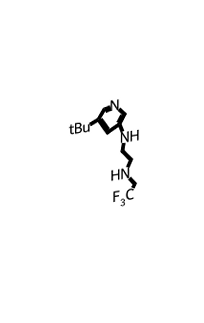 CC(C)(C)c1cncc(NCCNCC(F)(F)F)c1